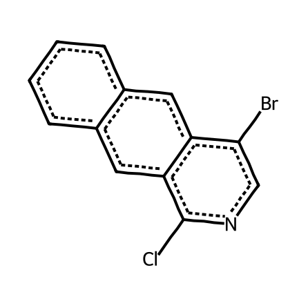 Clc1ncc(Br)c2cc3ccccc3cc12